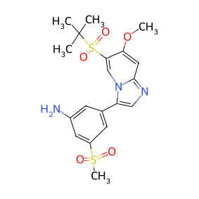 COc1cc2ncc(-c3cc(N)cc(S(C)(=O)=O)c3)n2cc1S(=O)(=O)C(C)(C)C